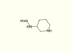 CNNC1CCCNC1